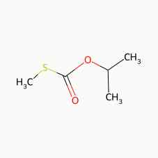 CSC(=O)OC(C)C